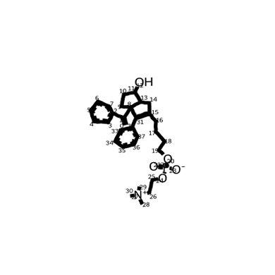 C=C(c1ccccc1)C12CCC(O)C1CC(CCCCOP(=O)([O-])OCC[N+](C)(C)C)=C2c1ccccc1